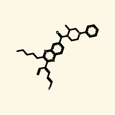 C=C/C(=C\C=C\F)c1nc2ccc(C(=O)N3CCN(c4ccccc4)CC3C)cc2nc1CCCCC